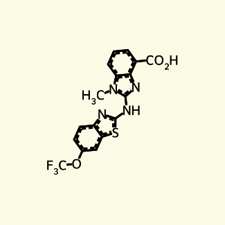 Cn1c(Nc2nc3ccc(OC(F)(F)F)cc3s2)nc2c(C(=O)O)cccc21